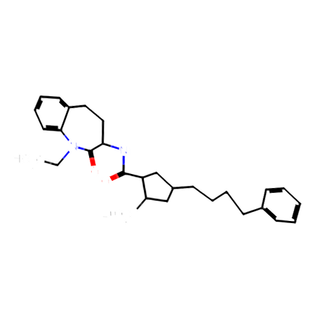 CCOC(=O)C1CC(CCCCc2ccccc2)CC1C(=O)NC1CCc2ccccc2N(CC(=O)O)C1=O